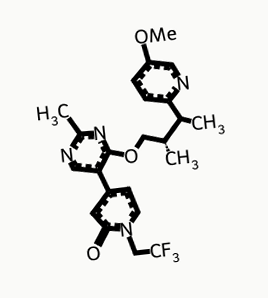 COc1ccc(C(C)[C@H](C)COc2nc(C)ncc2-c2ccn(CC(F)(F)F)c(=O)c2)nc1